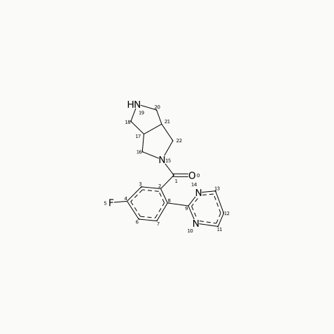 O=C(c1cc(F)ccc1-c1ncccn1)N1CC2CNCC2C1